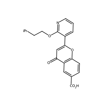 CC(C)CCOc1ncccc1-c1cc(=O)c2cc(C(=O)O)ccc2o1